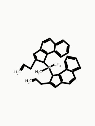 C=CCC1=Cc2ccc3ccccc3c2C1[Si](C)(C)C1C(CC=C)=Cc2ccc3ccccc3c21